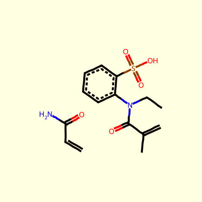 C=C(C)C(=O)N(CC)c1ccccc1S(=O)(=O)O.C=CC(N)=O